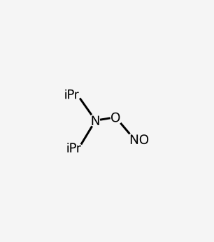 CC(C)N(ON=O)C(C)C